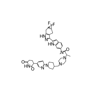 CC(C(=O)N(C)c1ccc2cc(-c3n[nH]c4c3CC3C(F)(F)[C@]3(C)C4)[nH]c2c1)N1CCN(CC2CCN(c3ccc(C4CCC(=O)NC4=O)cn3)CC2)CC1